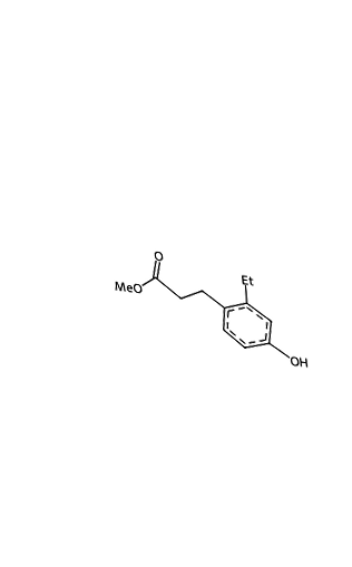 CCc1cc(O)ccc1CCC(=O)OC